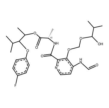 CC(C)C(O)OCOc1c(NC=O)ccnc1C(=O)N[C@@H](C)C(=O)OC(C)C(Oc1ccc(F)cc1)C(C)C